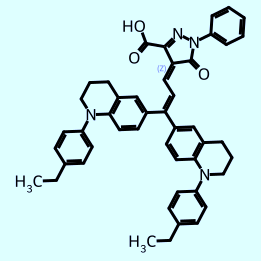 CCc1ccc(N2CCCc3cc(C(=C/C=C4\C(=O)N(c5ccccc5)N=C4C(=O)O)c4ccc5c(c4)CCCN5c4ccc(CC)cc4)ccc32)cc1